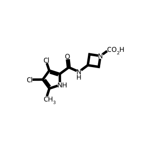 Cc1[nH]c(C(=O)NC2CN(C(=O)O)C2)c(Cl)c1Cl